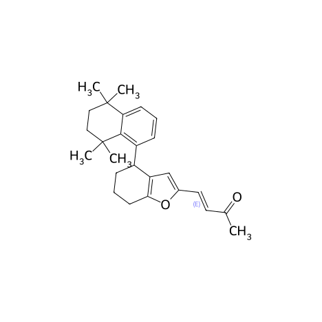 CC(=O)/C=C/c1cc2c(o1)CCCC2c1cccc2c1C(C)(C)CCC2(C)C